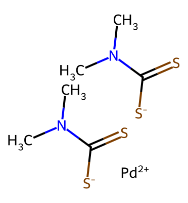 CN(C)C(=S)[S-].CN(C)C(=S)[S-].[Pd+2]